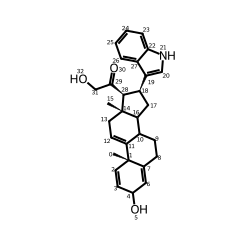 C[C@]12C=CC(O)C=C1CCC1C2=CC[C@@]2(C)C1C[C@H](c1c[nH]c3ccccc13)[C@@H]2C(=O)CO